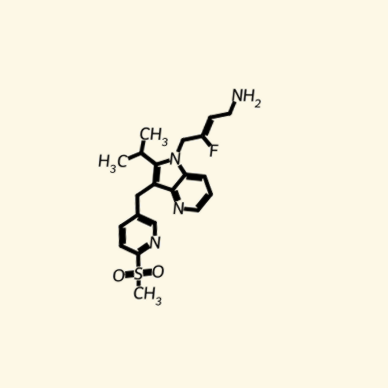 CC(C)c1c(Cc2ccc(S(C)(=O)=O)nc2)c2ncccc2n1C/C(F)=C/CN